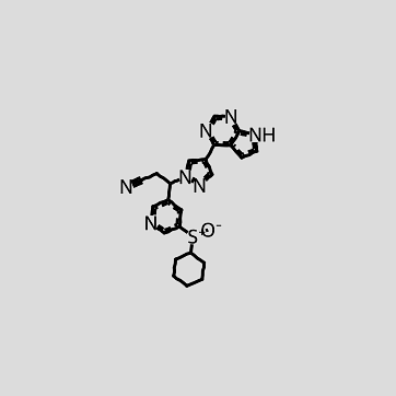 N#CCC(c1cncc([S+]([O-])C2CCCCC2)c1)n1cc(-c2ncnc3[nH]ccc23)cn1